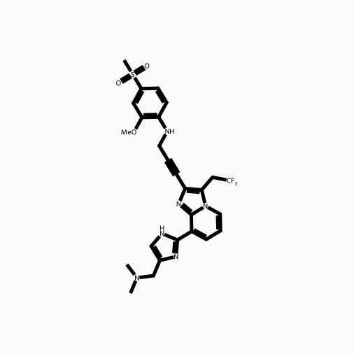 COc1cc(S(C)(=O)=O)ccc1NCC#Cc1nc2c(-c3nc(CN(C)C)c[nH]3)cccn2c1CC(F)(F)F